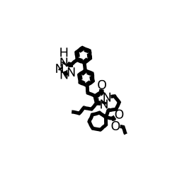 CCCCc1c(Cc2ccc(-c3ccccc3-c3nnn[nH]3)cc2)c(=O)n2n1C(C1(C(=O)OCC)CCCCCC1)CCC2